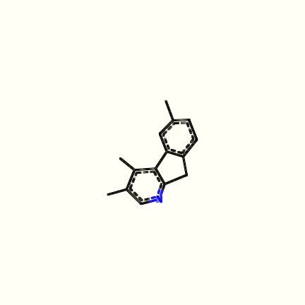 Cc1ccc2c(c1)-c1c(ncc(C)c1C)C2